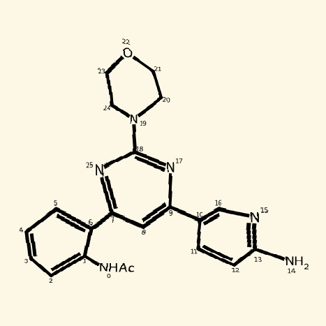 CC(=O)Nc1ccccc1-c1cc(-c2ccc(N)nc2)nc(N2CCOCC2)n1